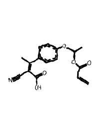 C=CC(=O)OC(C)Oc1ccc(C(C)=C(C#N)C(=O)O)cc1